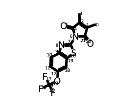 CC1=C(C)C(=O)N(c2nc3ccc(OC(F)(F)F)cc3s2)C1=O